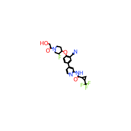 N#Cc1cc(-c2ccnc(NC(=O)C3CC3C(F)(F)F)c2)ccc1OC1CCN(C(=O)CO)CC1F